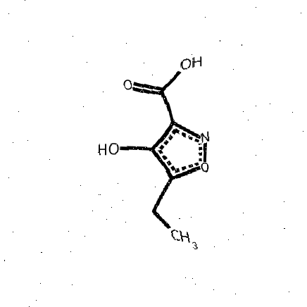 CCc1onc(C(=O)O)c1O